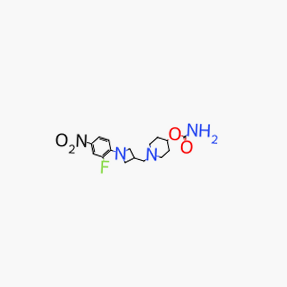 NC(=O)OC1CCN(CC2CN(c3ccc([N+](=O)[O-])cc3F)C2)CC1